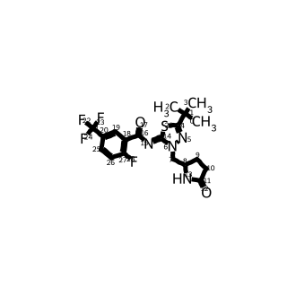 CC(C)(C)c1nn(CC2CCC(=O)N2)/c(=N/C(=O)c2cc(C(F)(F)F)ccc2F)s1